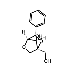 OC[C@@]12CO[C@@H]([C@H](c3ccccc3)O1)[C@@H]2O